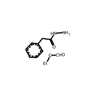 CCOC=O.NNC(=O)Cc1ccccc1